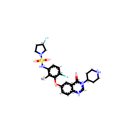 N#Cc1c(NS(=O)(=O)N2CC[C@@H](F)C2)ccc(F)c1Oc1ccc2ncn(C3CCNCC3)c(=O)c2c1